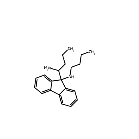 CCCCNC1(C(N)CCC)c2ccccc2-c2ccccc21